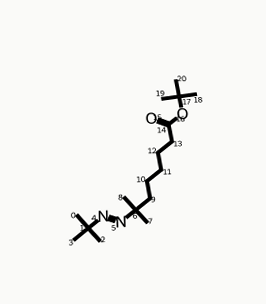 CC(C)(C)N=NC(C)(C)CCCCCC(=O)OC(C)(C)C